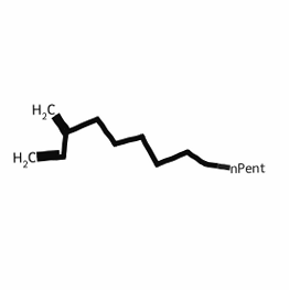 C=CC(=C)CCCCCCCCCCC